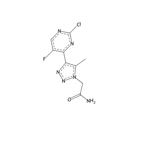 Cc1c(-c2nc(Cl)ncc2F)nnn1CC(N)=O